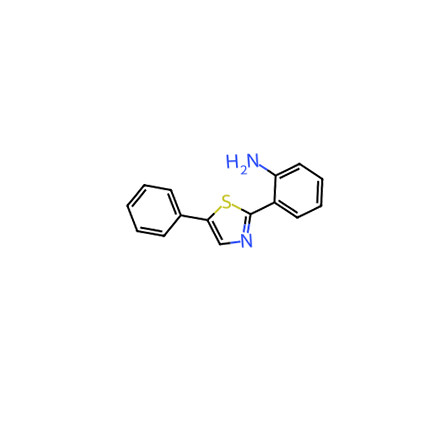 Nc1ccccc1-c1ncc(-c2ccccc2)s1